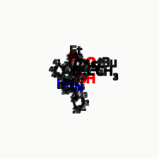 CCOc1cc(O[Si](C)(C)C(C)(C)C)c(F)c(C(O)(c2nc(-c3ccccc3)c[nH]2)C(c2ccccc2)(c2ccccc2)c2ccccc2)c1